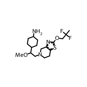 COC(CN1CCc2sc(OCC(C)(F)F)nc2C1)C1CCC(N)CC1